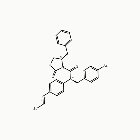 CC(=O)c1ccc(C[C@H](C(=O)N2C(=O)OC[C@H]2Cc2ccccc2)c2ccc(/C=C/C(C)(C)C)cc2)cc1